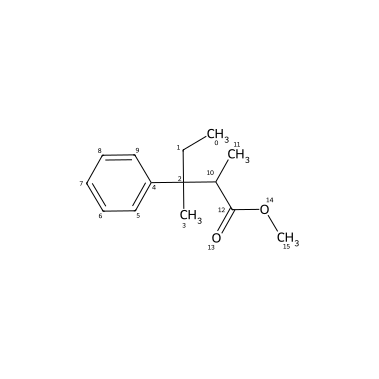 CCC(C)(c1ccccc1)C(C)C(=O)OC